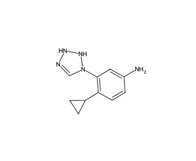 Nc1ccc(C2CC2)c(N2C=NNN2)c1